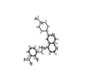 CC(=O)N1CCC(c2cc3c(NCc4cccc(C(F)F)c4F)ccnc3cn2)CC1